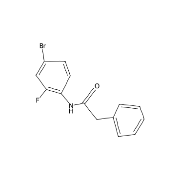 O=C(Cc1ccccc1)Nc1ccc(Br)cc1F